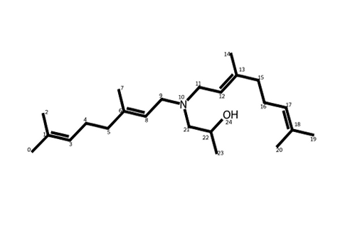 CC(C)=CCC/C(C)=C/CN(C/C=C(\C)CCC=C(C)C)CC(C)O